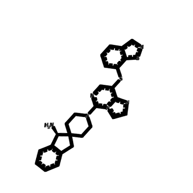 N[C@@H]1c2ccccc2CC12CCN(c1ncc(Sc3cccc4cnsc34)c3nccn13)CC2